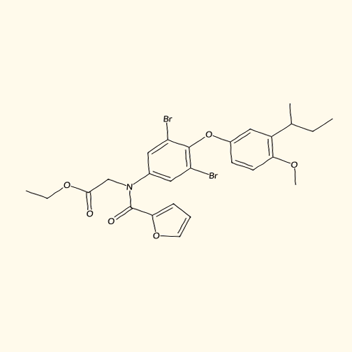 CCOC(=O)CN(C(=O)c1ccco1)c1cc(Br)c(Oc2ccc(OC)c(C(C)CC)c2)c(Br)c1